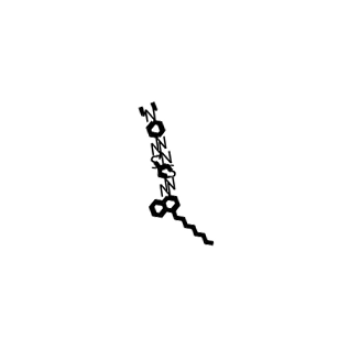 CCCCCCCCc1ccc(N=Nc2cc3sc(N=Nc4ccc(N(CC)CC)cc4)nc3s2)c2ccccc12